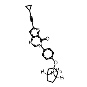 CN1[C@@H]2CC[C@H]1C[C@@H](Oc1ccc(-n3cnc4cc(C#CC5CC5)sc4c3=O)cc1)C2